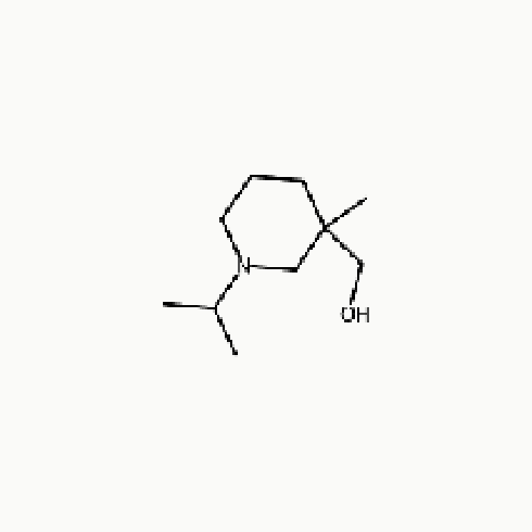 CC(C)N1CCCC(C)(CO)C1